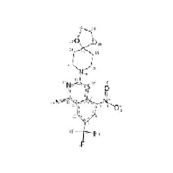 O=[N+]([O-])c1cc(C(F)(F)F)cc2c(=S)nc(N3CCC4(CC3)OCCO4)sc12